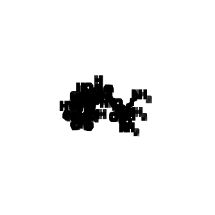 C[C@H](NC(=O)CNC(=O)[C@H](CO)NC(=O)[C@H](CO)NC(=O)[C@@H]1CCCN1C(=O)CNC(=O)CNC(=O)[C@H](CC(N)=O)NC(=O)[C@@H](N)CCCCN)C(=O)N1CCC[C@H]1C(=O)N1CCC[C@H]1C(=O)N1CCC[C@H]1C(=O)N[C@@H](CO)C(N)=O